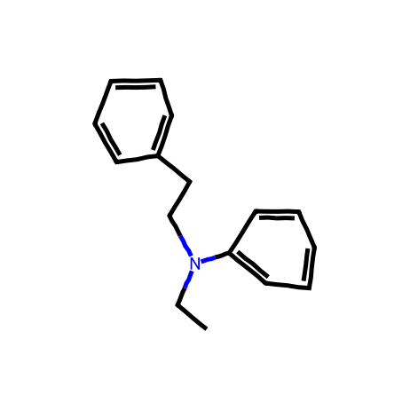 CCN(CCc1ccccc1)c1ccccc1